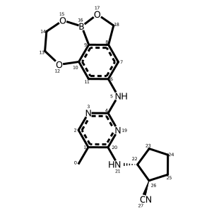 Cc1cnc(Nc2cc3c4c(c2)OCCOB4OC3)nc1N[C@@H]1CCC[C@H]1C#N